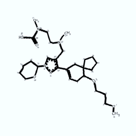 COCCCOC1CC=C(c2nn(C3CCCCO3)cc2CN(C)CCN(C)C(=O)O)CC12CCCC2